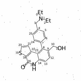 CCN(CC)Cc1ccc(-c2c(CO)ccc3[nH]c(=O)c4sccc4c23)cc1